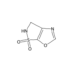 O=S1(=O)NCc2ncoc21